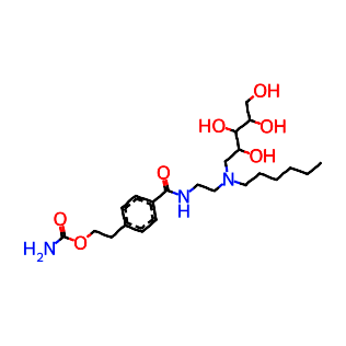 CCCCCCN(CCNC(=O)c1ccc(CCOC(N)=O)cc1)CC(O)C(O)C(O)CO